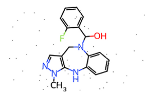 Cn1ncc2c1Nc1ccccc1N(C(O)c1ccccc1F)C2